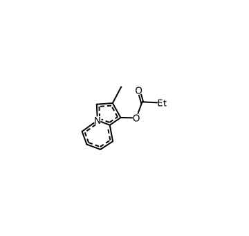 CCC(=O)Oc1c(C)cn2ccccc12